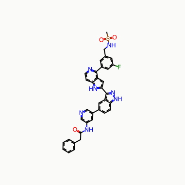 CS(=O)(=O)NCc1cc(F)cc(-c2nccc3[nH]c(-c4n[nH]c5ccc(-c6cncc(NC(=O)Cc7ccccc7)c6)cc45)cc23)c1